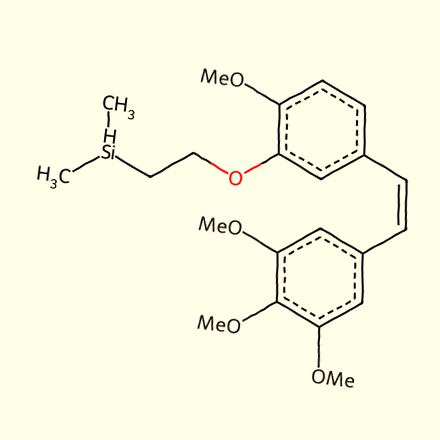 COc1ccc(/C=C\c2cc(OC)c(OC)c(OC)c2)cc1OCC[SiH](C)C